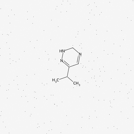 CC(C)C1=NNCN=C1